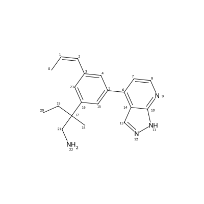 C/C=C\c1cc(-c2ccnc3[nH]ncc23)cc(C(C)(CC)CN)c1